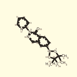 CC1(C)OB(c2ccc3c(=O)n(-c4ccccn4)ncc3c2)OC1(C)C